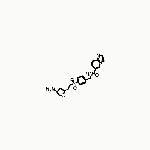 N[C@@H]1CO[C@H](CCS(=O)(=O)c2ccc(CNC(=O)c3ccc4nccn4c3)cc2)C1